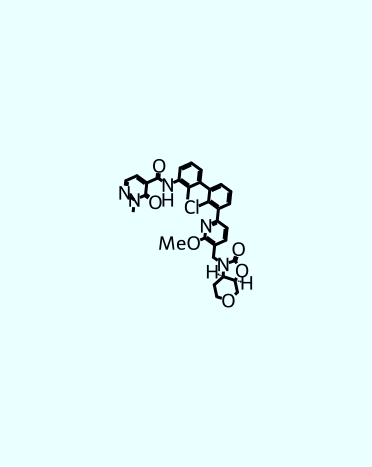 COc1nc(-c2cccc(-c3cccc(NC(=O)c4ccnn(C)c4=O)c3C)c2Cl)ccc1CN1C(=O)O[C@H]2COCC[C@H]21